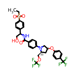 CCS(=O)(=O)c1ccc(C(CO)NC(=O)c2ccc(N3C[C@@H](Oc4ccc(C(F)(F)F)cc4)C[C@H]3COC(F)(F)F)cc2)cc1